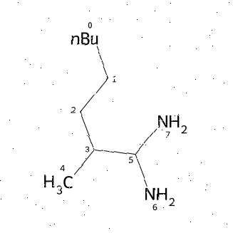 CCCCCCC(C)C(N)N